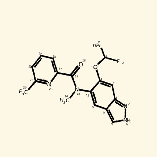 CCCC(F)Oc1cc2n[nH]cc2cc1N(C)C(=O)c1cccc(C(F)(F)F)n1